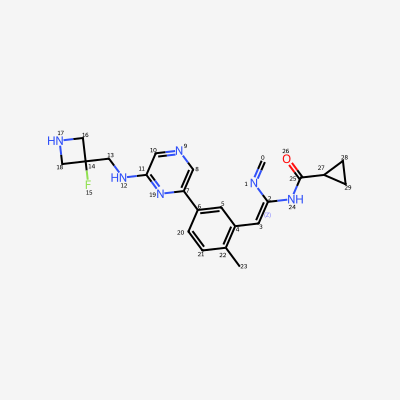 C=N/C(=C\c1cc(-c2cncc(NCC3(F)CNC3)n2)ccc1C)NC(=O)C1CC1